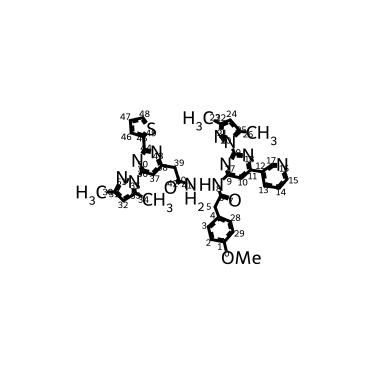 COc1ccc(CC(=O)Nc2cc(-c3cccnc3)nc(-n3nc(C)cc3C)n2)cc1.Cc1cc(C)n(-c2cc(CC(N)=O)nc(-c3cccs3)n2)n1